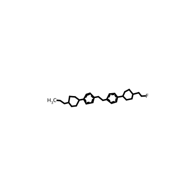 CCCC1CCC(c2ccc(CCc3ccc(C4CCC(CCF)CC4)cc3)cc2)CC1